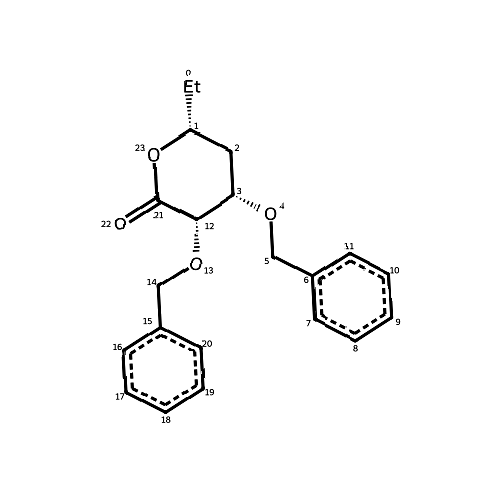 CC[C@@H]1C[C@H](OCc2ccccc2)[C@H](OCc2ccccc2)C(=O)O1